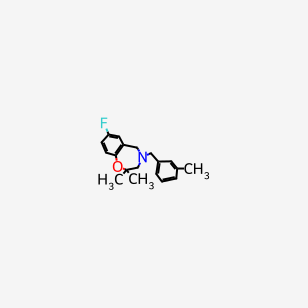 Cc1cccc(CN2Cc3cc(F)ccc3OC(C)(C)C2)c1